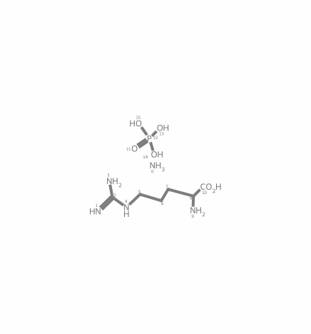 N.N=C(N)NCCCC(N)C(=O)O.O=P(O)(O)O